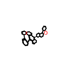 c1ccc(-c2ccccc2-c2c3ccccc3c(-c3ccc4c(ccc5oc6ccccc6c54)c3)c3ccccc23)cc1